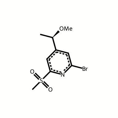 CO[C@H](C)c1cc(Br)nc(S(C)(=O)=O)c1